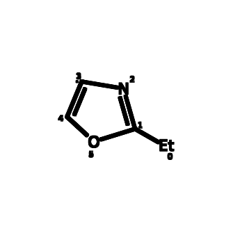 CCc1n[c]co1